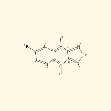 Cc1c2ncc(F)nc2c(C)c2nonc12